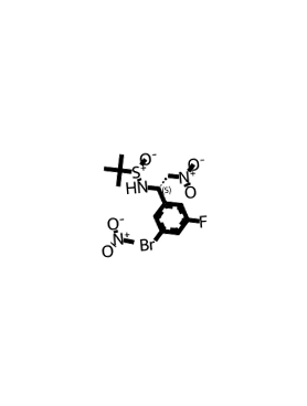 CC(C)(C)[S+]([O-])N[C@H](C[N+](=O)[O-])c1cc(F)cc(Br)c1.C[N+](=O)[O-]